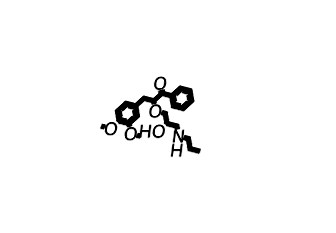 CCCNCC(O)COC(Cc1ccc(OC)c(OC)c1)C(=O)c1ccccc1